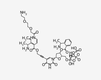 C=C/C(=C(\C=C/NC(=O)COCCOCCN)C(=O)OCC#Cc1cn([C@H]2C[C@@H](OC(=O)c3ccccc3C(C)N)C(COP(=O)(O)OP(=O)(O)OP(=O)(O)O)O2)c(=O)[nH]c1=O)C(C)N